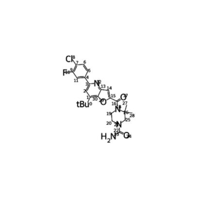 CC(C)(C)c1cc(-c2ccc(Cl)c(F)c2)nc2cc(C(=O)N3CCN(C(N)=O)CC3(C)C)oc12